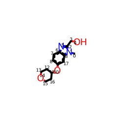 Cn1c(CO)nc2ccc(OC3CCOCC3)cc21